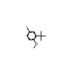 COc1ccc(I)cc1C(C)(C)C